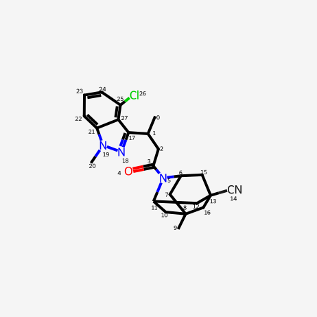 CC(CC(=O)N1C2CC3(C)CC1CC(C#N)(C2)C3)c1nn(C)c2cccc(Cl)c12